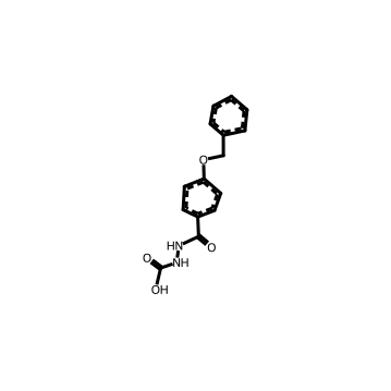 O=C(O)NNC(=O)c1ccc(OCc2ccccc2)cc1